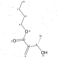 C=C(C(=O)OCCCC)[C@H](C)O